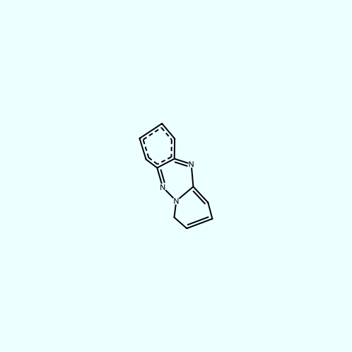 C1=CCN2N=c3ccccc3=NC2=C1